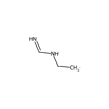 [CH2]CNC=N